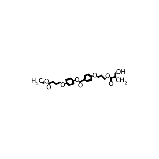 C=COC(=O)CCCOc1ccc(OC(=O)c2ccc(OCCCOC(=O)C(=C)CO)cc2)cc1